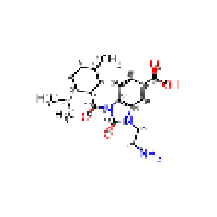 CC(C)[C@@H]1CC[C@@H](C)C[C@H]1C(=O)n1c(=O)n(CCN)c2cc(C(=O)O)ccc21